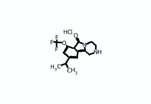 CC(C)C1=CC2=C3CNCCN3C(=O)C2C(OC(F)(F)F)=C1.Cl